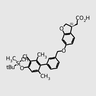 Cc1cc(O[Si](C)(C)C(C)(C)C)c(Cl)c(C)c1-c1cccc(COc2ccc3c(c2)OC[C@H]3CC(=O)O)c1